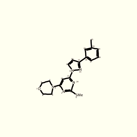 CSc1nc(N2CCOCC2)cc(-n2ccc(-c3cccc(C)c3)n2)n1